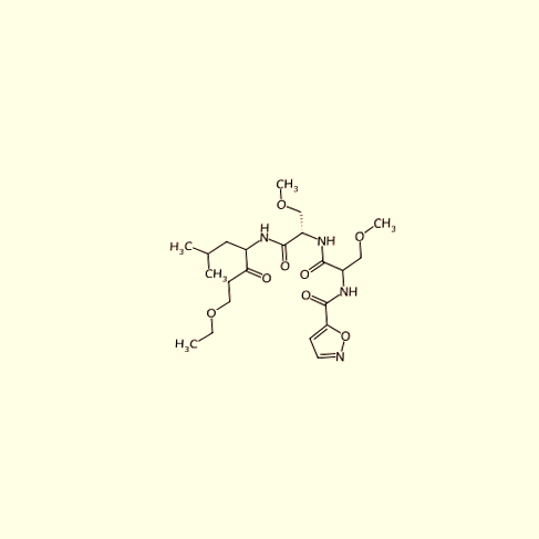 CCOCCC(=O)C(CC(C)C)NC(=O)[C@H](COC)NC(=O)C(COC)NC(=O)c1ccno1